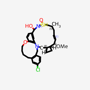 CO[C@H]1/C=C/C[C@H](C)C/[SH](=O)=N\C(O)c2ccc3c(c2)N(Cc2ccc(Cl)cc2CCCCO3)C[C@@H]2CC[C@H]21